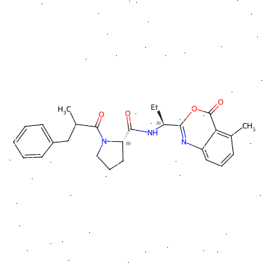 CC[C@H](NC(=O)[C@@H]1CCCN1C(=O)C(C)Cc1ccccc1)c1nc2cccc(C)c2c(=O)o1